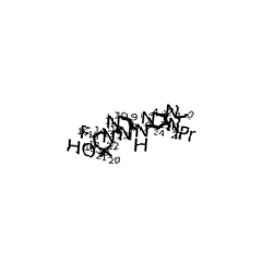 Cc1nc2cnc(Nc3ccnc(N4C[C@@H](F)[C@@H](O)C(C)(C)C4)n3)cc2n1C(C)C